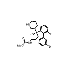 CCc1cccc(-c2c(F)cccc2[C@](O)(CCCNC(=O)OC)C2CCCNC2)c1